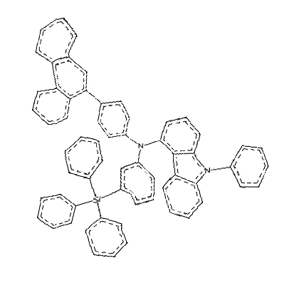 c1ccc(-n2c3ccccc3c3c(N(c4ccc(-c5cc6ccccc6c6ccccc56)cc4)c4cccc([Si](c5ccccc5)(c5ccccc5)c5ccccc5)c4)cccc32)cc1